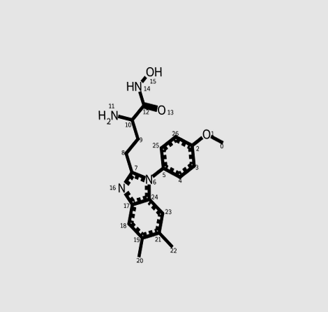 COc1ccc(-n2c(CCC(N)C(=O)NO)nc3cc(C)c(C)cc32)cc1